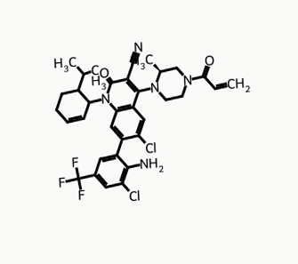 C=CC(=O)N1CCN(c2c(C#N)c(=O)n(C3C=CCCC3C(C)C)c3cc(-c4cc(C(F)(F)F)cc(Cl)c4N)c(Cl)cc23)[C@@H](C)C1